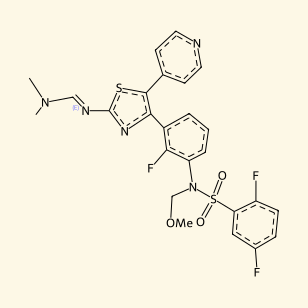 COCN(c1cccc(-c2nc(/N=C/N(C)C)sc2-c2ccncc2)c1F)S(=O)(=O)c1cc(F)ccc1F